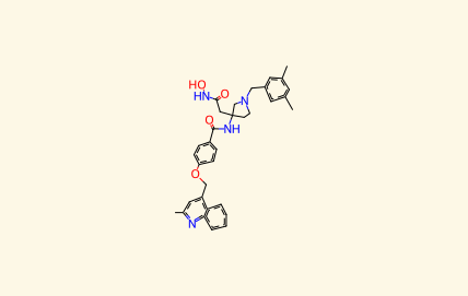 Cc1cc(C)cc(CN2CCC(CC(=O)NO)(NC(=O)c3ccc(OCc4cc(C)nc5ccccc45)cc3)C2)c1